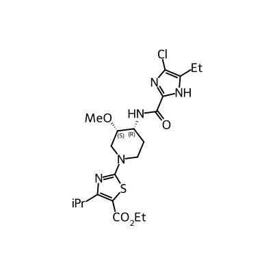 CCOC(=O)c1sc(N2CC[C@@H](NC(=O)c3nc(Cl)c(CC)[nH]3)[C@@H](OC)C2)nc1C(C)C